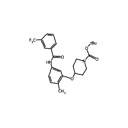 Cc1ccc(NC(=O)c2cccc(C(F)(F)F)c2)cc1OC1CCN(C(=O)OC(C)(C)C)CC1